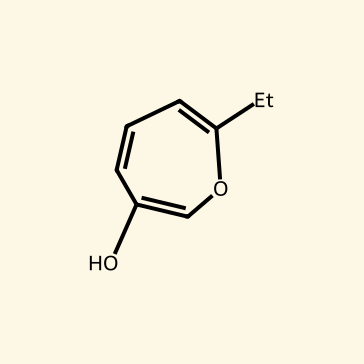 CCC1=CC=CC(O)=CO1